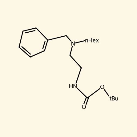 CCCCCCN(CCNC(=O)OC(C)(C)C)Cc1ccccc1